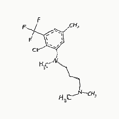 Cc1cc(N(C)CCCN(C)C)c(Cl)c(C(F)(F)F)c1